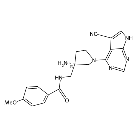 COc1ccc(C(=O)NC[C@@]2(N)CCN(c3ncnc4[nH]cc(C#N)c34)C2)cc1